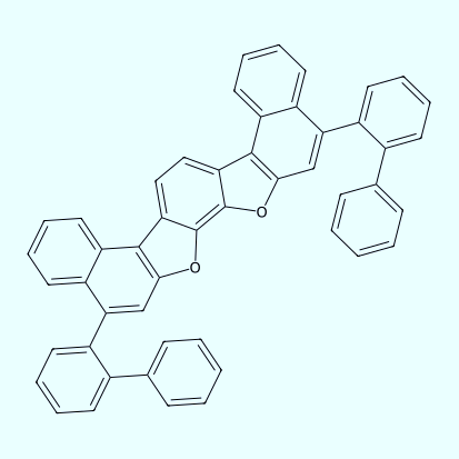 c1ccc(-c2ccccc2-c2cc3oc4c(ccc5c4oc4cc(-c6ccccc6-c6ccccc6)c6ccccc6c45)c3c3ccccc23)cc1